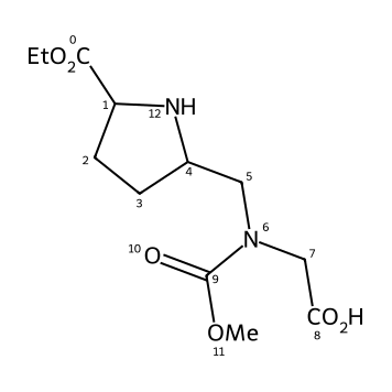 CCOC(=O)C1CCC(CN(CC(=O)O)C(=O)OC)N1